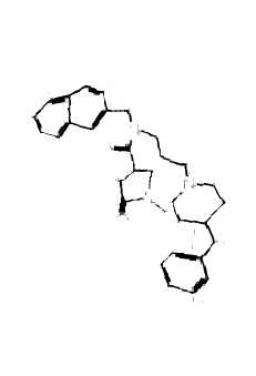 CN1CC(C(=O)N(CCCN2CCC(Cc3ccccc3)CC2)Cc2ccc3ccccc3c2)CC1=O